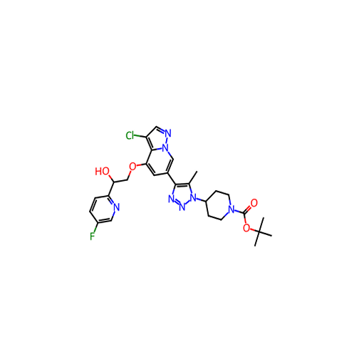 Cc1c(-c2cc(OCC(O)c3ccc(F)cn3)c3c(Cl)cnn3c2)nnn1C1CCN(C(=O)OC(C)(C)C)CC1